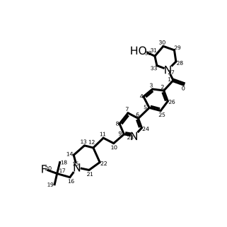 C=C(c1ccc(-c2ccc(CCC3CCN(CC(C)(C)F)CC3)nc2)cc1)N1CCCC(O)C1